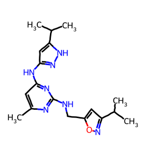 Cc1cc(Nc2cc(C(C)C)[nH]n2)nc(NCc2cc(C(C)C)no2)n1